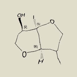 CC1CO[C@]2(I)[C@H](O)CO[C@H]12